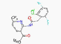 COC(=O)c1ccc(C(F)(F)F)nc1NC(=O)Cc1c(F)ccc(F)c1Cl